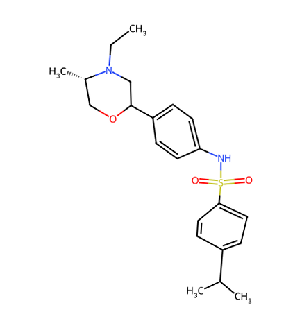 CCN1CC(c2ccc(NS(=O)(=O)c3ccc(C(C)C)cc3)cc2)OC[C@@H]1C